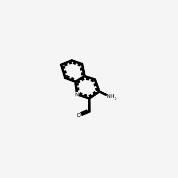 Nc1cc2ccccc2nc1C=O